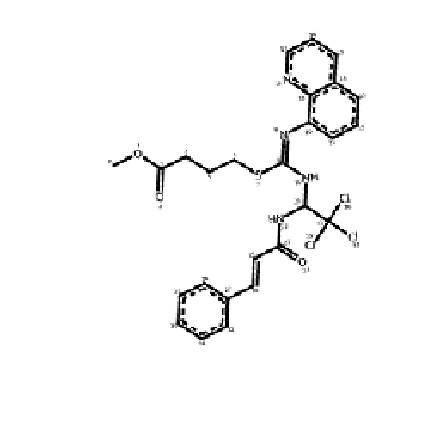 COC(=O)CCCS/C(=N/c1cccc2cccnc12)NC(NC(=O)/C=C/c1ccccc1)C(Cl)(Cl)Cl